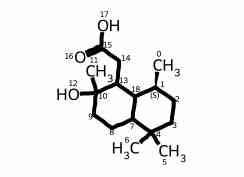 C[C@H]1CCC(C)(C)C2CCC(C)(O)C(CC(=O)O)C21